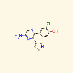 Nc1cnc(-c2ccc(O)c(Cl)c2)c(-c2cnsc2)n1